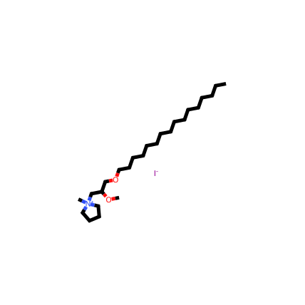 CCCCCCCCCCCCCCCCOCC(C[N+]1(C)CCCC1)OC.[I-]